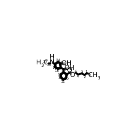 CCCCCCOC(=O)c1ccccc1C(O)c1ccc(NCC)cc1O